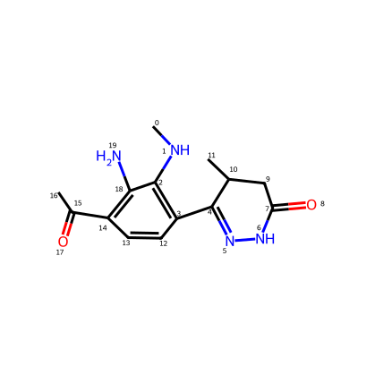 CNc1c(C2=NNC(=O)CC2C)ccc(C(C)=O)c1N